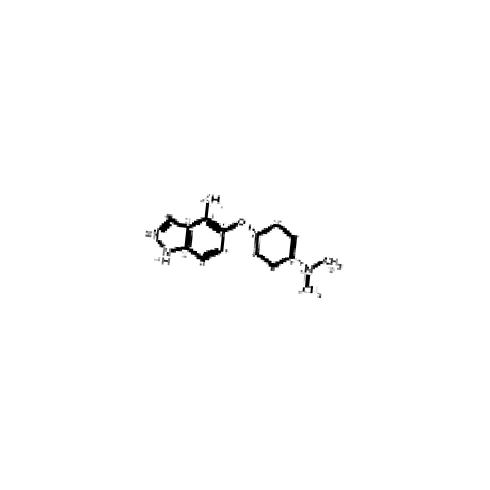 Cc1c(O[C@H]2CC[C@@H](N(C)C)CC2)ccc2[nH]ncc12